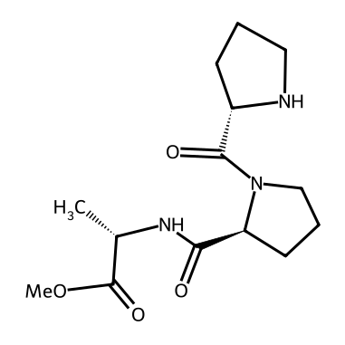 COC(=O)[C@H](C)NC(=O)[C@@H]1CCCN1C(=O)[C@@H]1CCCN1